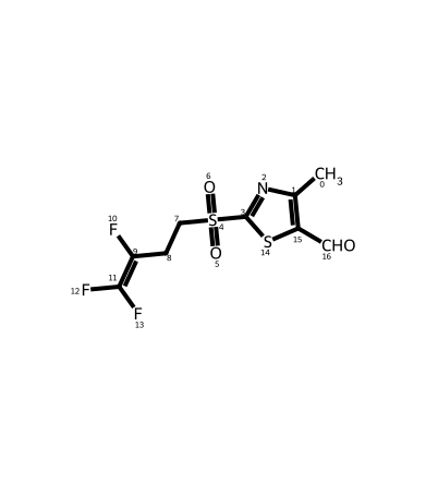 Cc1nc(S(=O)(=O)CCC(F)=C(F)F)sc1C=O